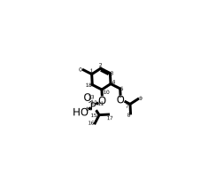 CC1C=CC(COC(C)C)C(OP(=O)(O)C(C)C)C1